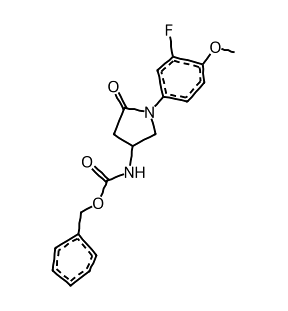 COc1ccc(N2CC(NC(=O)OCc3ccccc3)CC2=O)cc1F